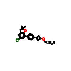 CC1(C)Cc2cc(Cl)cc(-c3ccc(C4CC(OCC(=O)O)C4)cc3)c2O1